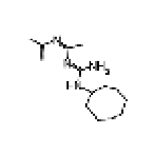 C=C(C)/N=C(C)\N=C(/N)NC1CCCCCCC1